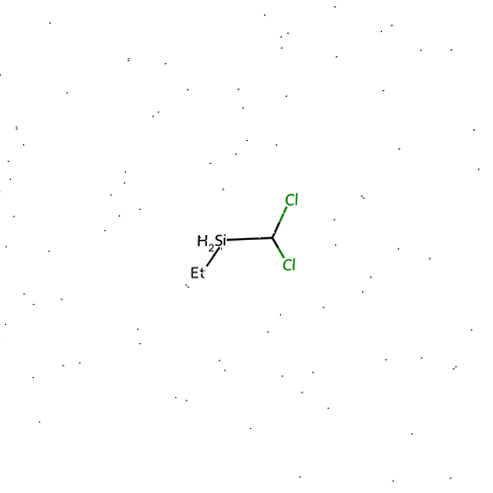 [CH2]C[SiH2]C(Cl)Cl